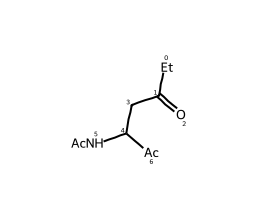 CCC(=O)CC(NC(C)=O)C(C)=O